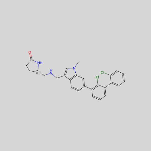 Cn1cc(CNC[C@@H]2CCC(=O)N2)c2ccc(-c3cccc(-c4ccccc4Cl)c3Cl)cc21